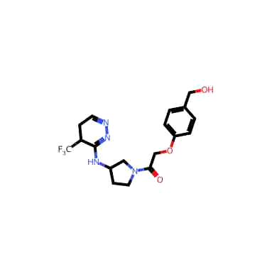 O=C(COc1ccc(CO)cc1)N1CCC(NC2=NN=CCC2C(F)(F)F)C1